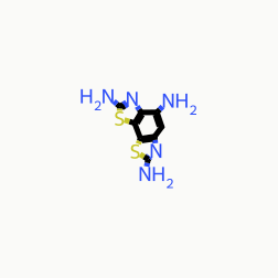 Nc1nc2cc(N)c3nc(N)sc3c2s1